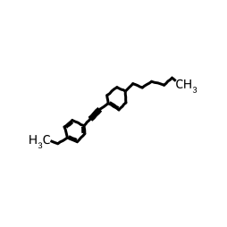 CCCCCCC1CC=C(C#Cc2ccc(CC)cc2)CC1